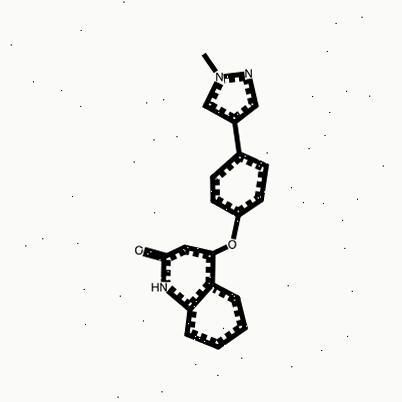 Cn1cc(-c2ccc(Oc3cc(=O)[nH]c4ccccc34)cc2)cn1